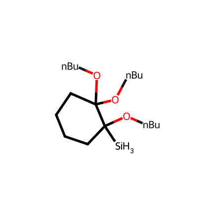 CCCCOC1([SiH3])CCCCC1(OCCCC)OCCCC